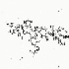 COc1ccc(CN(c2scnc2C(=O)OC(C)(C)C)S(=O)(=O)c2ccc(NC(=O)C(C)C(=N)NO)c(F)c2)cc1